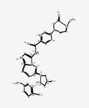 CN1CCN(c2cnc(C(=O)Nc3cnc4ccc(N5C[C@@H](F)C[C@@H]5c5cc(F)ccc5F)nn34)cn2)CC1=O